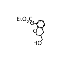 CCOC(=O)Oc1cccc2c1OCC(CO)C2